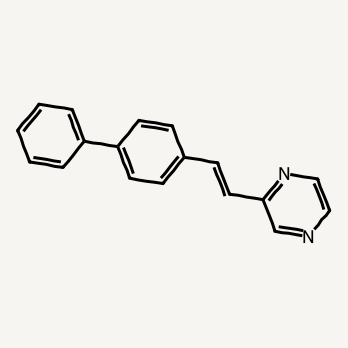 C(=Cc1cnccn1)c1ccc(-c2ccccc2)cc1